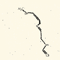 CN/C=C\N=C\CNC=O